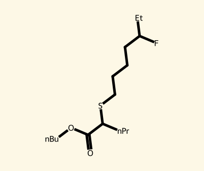 CCCCOC(=O)C(CCC)SCCCCC(F)CC